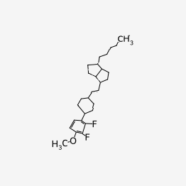 CCCCCC1CCC2C(CCC3CCC(c4ccc(OC)c(F)c4F)CC3)CCC12